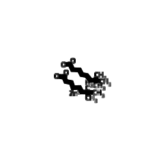 CC(C)(C)CCCCCC(=O)[O-].CC(C)(C)CCCCCC(=O)[O-].[Zn+2]